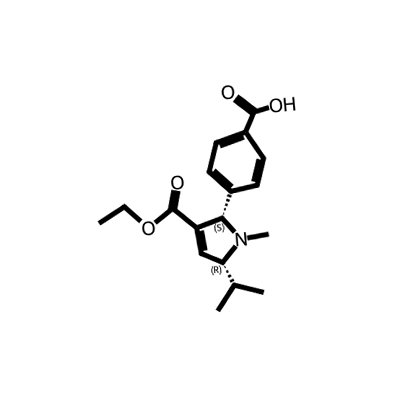 CCOC(=O)C1=C[C@@H](C(C)C)N(C)[C@H]1c1ccc(C(=O)O)cc1